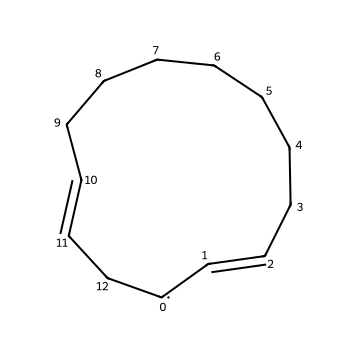 [CH]1/C=C/CCCCCCC/C=C/C1